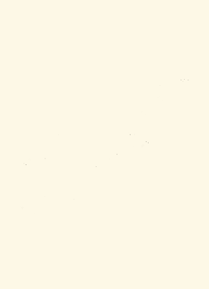 COC(=O)c1ccc(-c2noc(C34CCC(COCc5c(-c6ccccc6OC(F)(F)F)noc5C5CC5)(CC3)CC4)n2)cc1